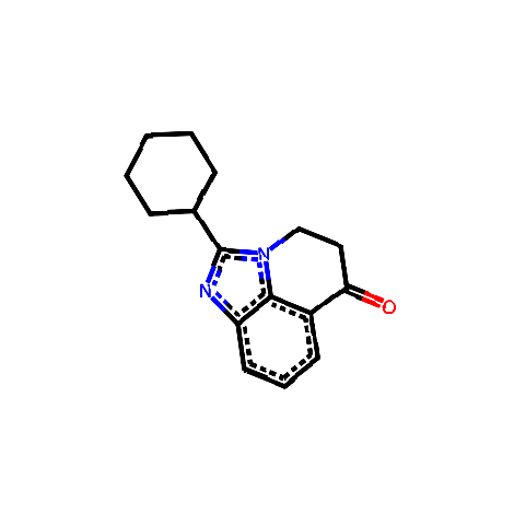 O=C1CCn2c(C3CCCCC3)nc3cccc1c32